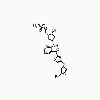 NS(=O)(=O)OC[C@H]1C[C@@H](Nc2ncncc2C(=O)c2cc(Cn3cnc(Br)c3)cs2)C[C@@H]1O